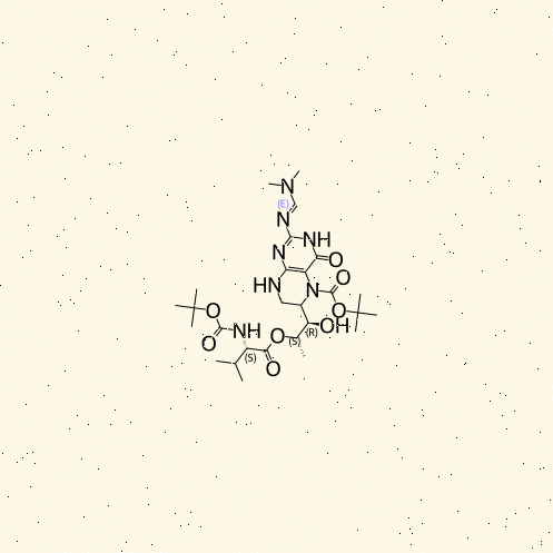 CC(C)[C@H](NC(=O)OC(C)(C)C)C(=O)O[C@@H](C)[C@H](O)C1CNc2nc(/N=C/N(C)C)[nH]c(=O)c2N1C(=O)OC(C)(C)C